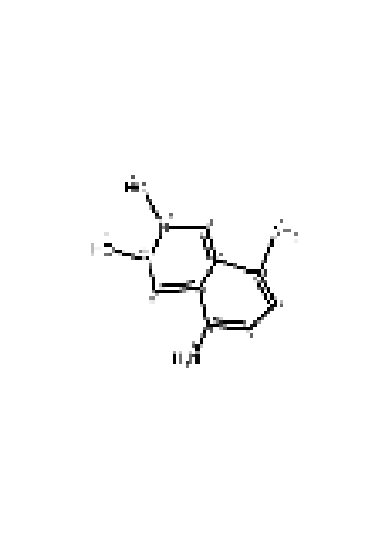 Nc1ccc(N)c2c1=CN(O)N(O)C=2